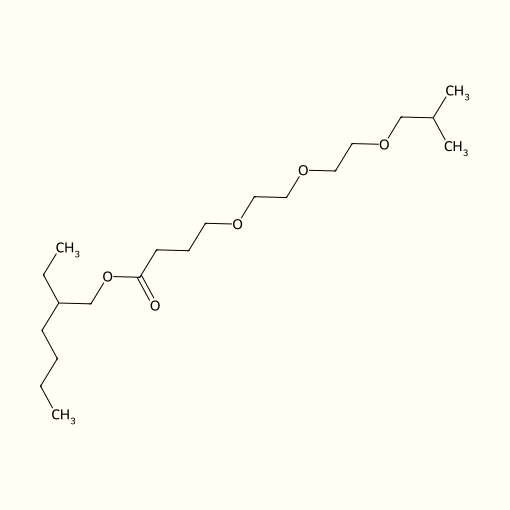 CCCCC(CC)COC(=O)CCCOCCOCCOCC(C)C